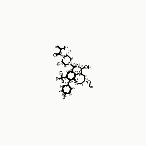 C=C(F)C(=O)N1[C@H](C)CN(C2=NC(O)N3C[C@H](OC)CSc4c(-c5ccc(F)cc5)c(C(F)(F)F)cc2c43)C[C@@H]1C